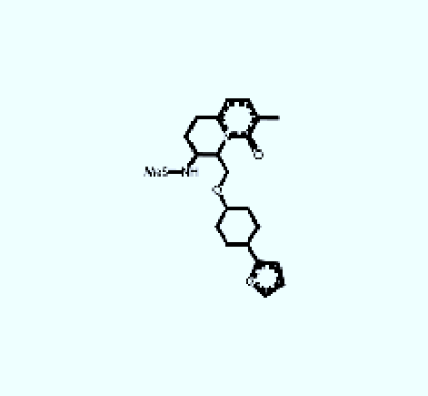 CSNC1CCc2ccc(C)c(=O)n2C1COC1CCC(c2ccco2)CC1